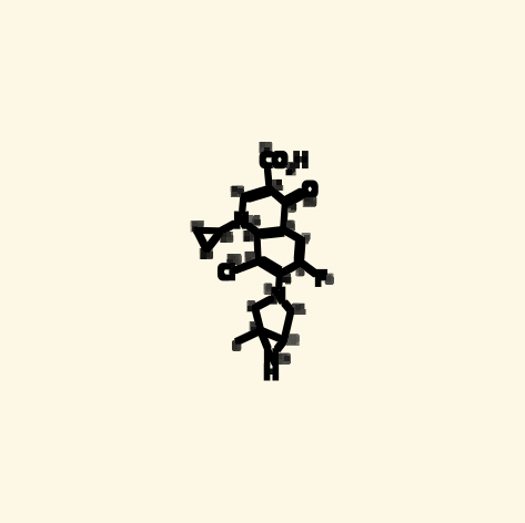 CC12CN(c3c(F)cc4c(=O)c(C(=O)O)cn(C5CC5)c4c3Cl)CC1N2